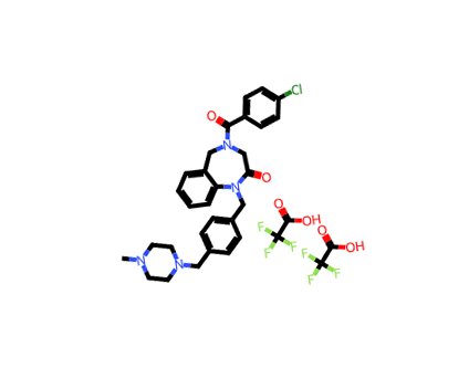 CN1CCN(Cc2ccc(CN3C(=O)CN(C(=O)c4ccc(Cl)cc4)Cc4ccccc43)cc2)CC1.O=C(O)C(F)(F)F.O=C(O)C(F)(F)F